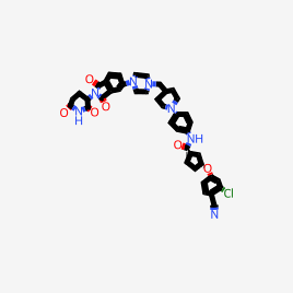 N#Cc1ccc(O[C@@H]2CC[C@@H](C(=O)Nc3ccc(N4CCC(CN5CCN(c6ccc7c(c6)C(=O)N(C6CCC(=O)NC6=O)C7=O)CC5)CC4)cc3)C2)cc1Cl